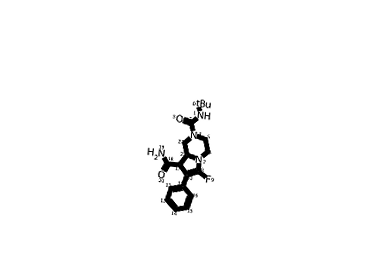 CC(C)(C)NC(=O)N1CCN2C(F)=C(c3ccccc3)C(C(N)=O)C2C1